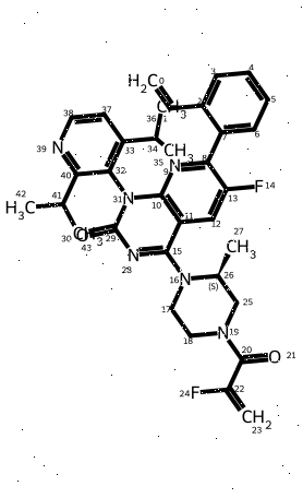 C=Cc1ccccc1-c1nc2c(cc1F)c(N1CCN(C(=O)C(=C)F)C[C@@H]1C)nc(=O)n2-c1c(C(C)C)ccnc1C(C)C